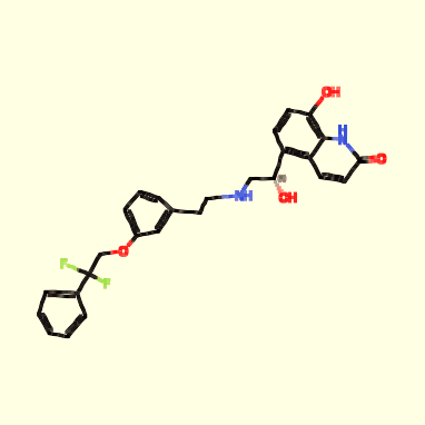 O=c1ccc2c([C@H](O)CNCCc3cccc(OCC(F)(F)c4ccccc4)c3)ccc(O)c2[nH]1